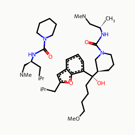 CNC[C@H](C)NC(=O)N1CCC[C@@H]([C@@](O)(CCCCOC)c2cccc3cc(CC(C)C)oc23)C1.CNC[C@H](CC(C)C)NC(=O)N1CCCCC1